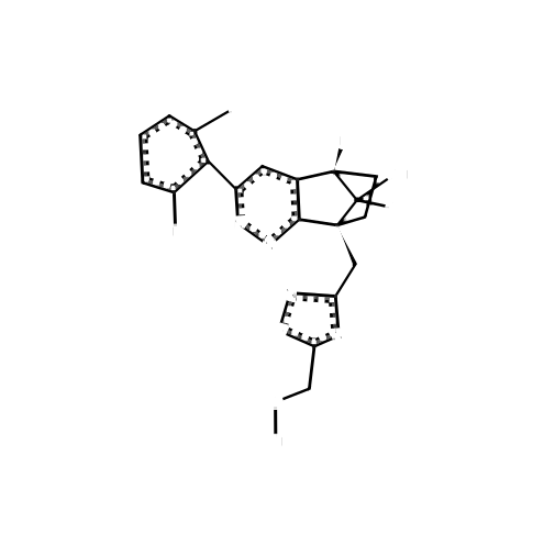 COCc1nc(C[C@@]23CC[C@@H](c4cc(-c5c(F)cccc5F)nnc42)C3(C)C)no1